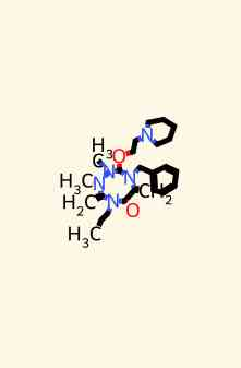 C=C1C(=O)N(CCC)C(=C)N(C)N(C)C(OCCN2CCCCC2)N1Cc1ccccc1